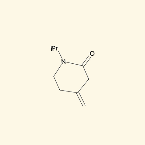 C=C1CCN(C(C)C)C(=O)C1